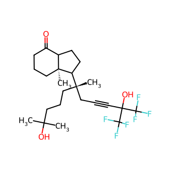 CC(C)(O)CCC[C@@](C)(CC#CC(O)(C(F)(F)F)C(F)(F)F)C1CCC2C(=O)CCC[C@@]21C